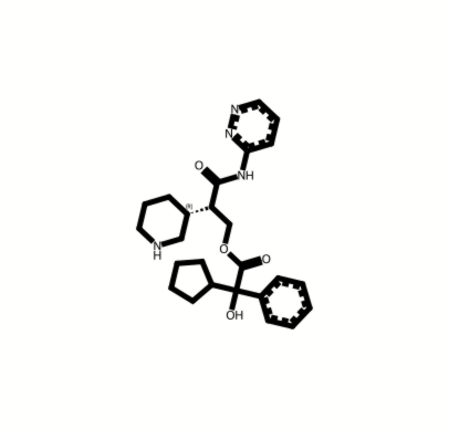 O=C(Nc1cccnn1)C(COC(=O)C(O)(c1ccccc1)C1CCCC1)[C@H]1CCCNC1